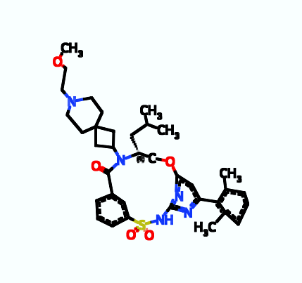 COCCN1CCC2(CC1)CC(N1C(=O)c3cccc(c3)S(=O)(=O)Nc3nc(cc(-c4c(C)cccc4C)n3)OC[C@H]1CC(C)C)C2